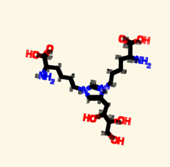 NC(CCCCn1cc(CC(O)C(O)CO)[n+](CCCCC(N)C(=O)O)c1)C(=O)O